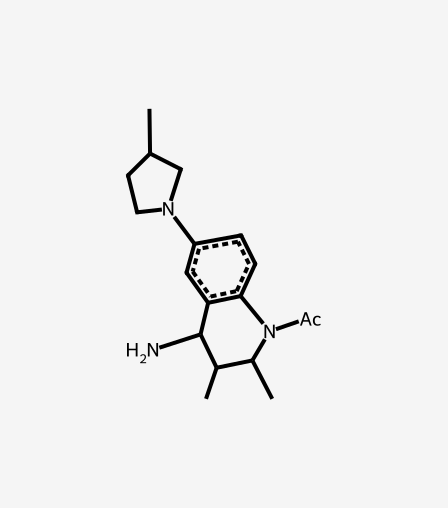 CC(=O)N1c2ccc(N3CCC(C)C3)cc2C(N)C(C)C1C